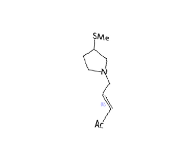 CSC1CCN(C/C=C/C(C)=O)C1